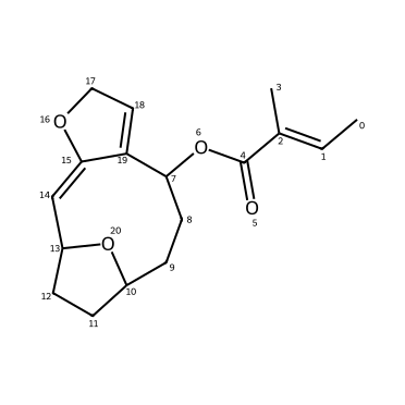 C/C=C(\C)C(=O)OC1CCC2CCC(C=C3OCC=C31)O2